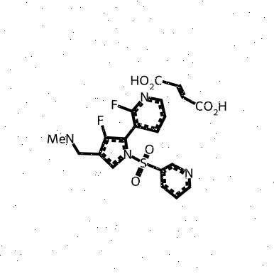 CNCc1cn(S(=O)(=O)c2cccnc2)c(-c2cccnc2F)c1F.O=C(O)C=CC(=O)O